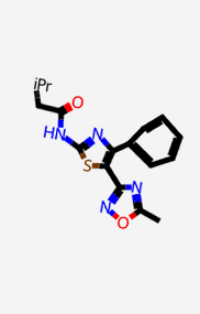 Cc1nc(-c2sc(NC(=O)CC(C)C)nc2-c2ccccc2)no1